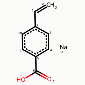 C=Cc1ccc(C(=O)O)cc1.[Na]